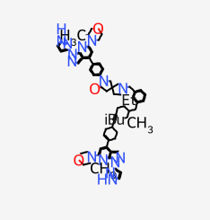 CCC(C)C(C)C(Cc1cccc(CN2CCC3(CC(=O)N(c4ccc(-c5cc(N6CCOC[C@H]6C)nc6c5cnn6-c5cc[nH]n5)cc4)C3)C2)c1)C(CC)CC#CC1CC=C(c2cc(N3CCOC[C@H]3C)nc3c2cnn3-c2cc[nH]n2)CC1